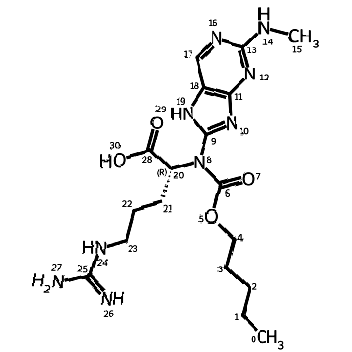 CCCCCOC(=O)N(c1nc2nc(NC)ncc2[nH]1)[C@H](CCCNC(=N)N)C(=O)O